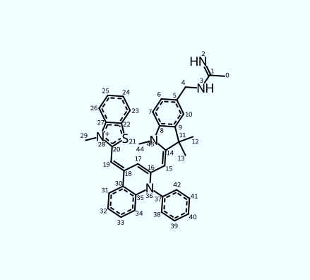 CC(=N)NCc1ccc2c(c1)C(C)(C)/C(=C/C1=CC(=Cc3sc4ccccc4[n+]3C)c3ccccc3N1c1ccccc1)N2C